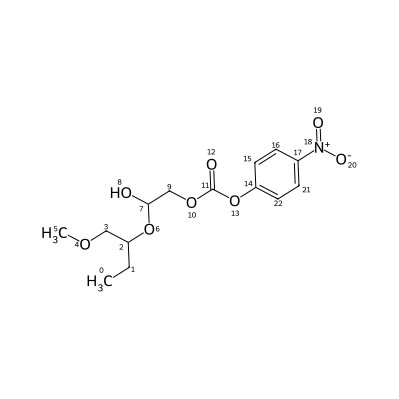 CCC(COC)OC(O)COC(=O)Oc1ccc([N+](=O)[O-])cc1